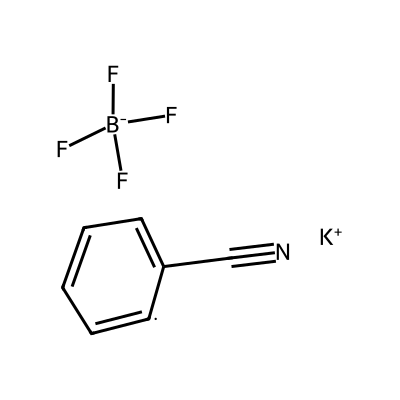 F[B-](F)(F)F.N#Cc1[c]cccc1.[K+]